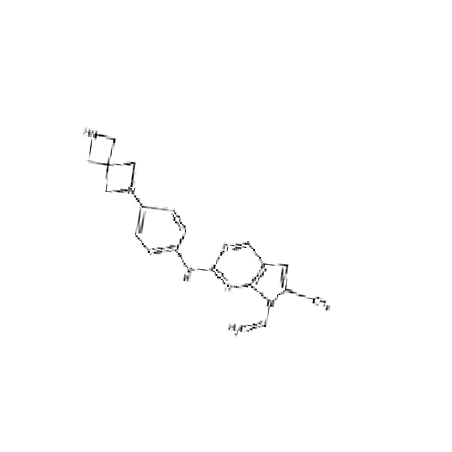 C=Cn1c(C)cc2cnc(Nc3ccc(N4CC5(CNC5)C4)cc3)nc21